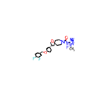 Cn1nnnc1NC(=O)N1CCC2(CC1)C[C@H](c1ccc(OCc3ccc(F)c(F)c3)cc1)CO2